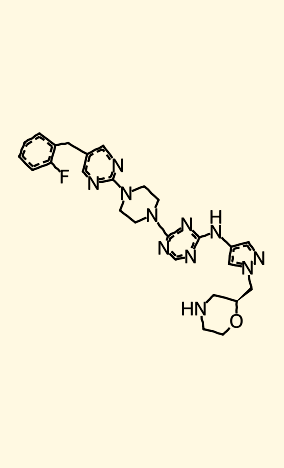 Fc1ccccc1Cc1cnc(N2CCN(c3ncnc(Nc4cnn(C[C@@H]5CNCCO5)c4)n3)CC2)nc1